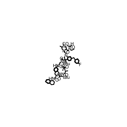 CC1COCCN1CC1CN(C(=O)O)C(C)CN1CC(=O)N1CC(C)(C(=O)NCC(=O)Nc2ccc3c(c2)CN(C(=O)C(NC(=O)C(C)N(C)C(=O)OC(C)(C)C)C(C)(C)C)C(C(=O)N[C@@H]2CCCc4ccccc42)C3)c2ccc(Cc3ccc(F)cc3)cc21